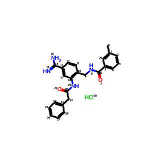 Cc1cccc(C(=O)NCc2ccc(C(=N)N)cc2NC(=O)Cc2ccccc2)c1.Cl